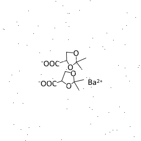 CC1(C)OCC(C(=O)[O-])O1.CC1(C)OCC(C(=O)[O-])O1.[Ba+2]